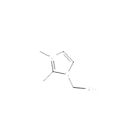 CCCCCCCn1cc[n+](CCC)c1C